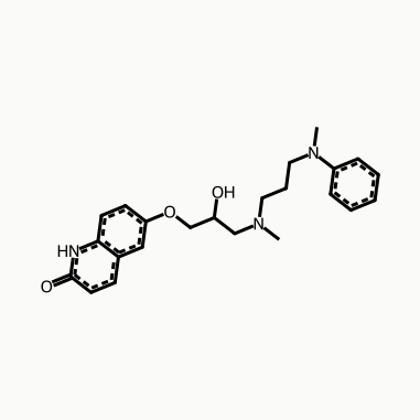 CN(CCCN(C)c1ccccc1)CC(O)COc1ccc2[nH]c(=O)ccc2c1